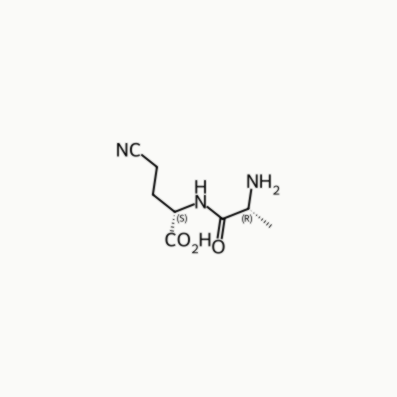 C[C@@H](N)C(=O)N[C@@H](CCC#N)C(=O)O